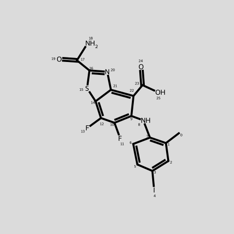 Cc1cc(I)ccc1Nc1c(F)c(F)c2sc(C(N)=O)nc2c1C(=O)O